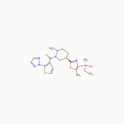 CC[C@](C)(O)c1nc([C@@H]2CCC(C)N(C(=O)c3ccsc3-n3nccn3)C2)oc1C